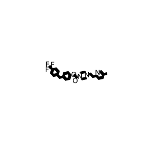 Cc1ccc(CCN2CCN(C(=O)Oc3ccc(Cc4ccc(C(F)(F)F)cc4)cc3)CC2)nc1